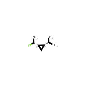 CC(F)[C@H]1C[C@H]1C(C)C